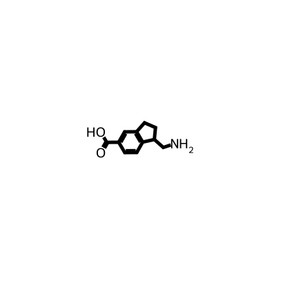 NCC1CCc2cc(C(=O)O)ccc21